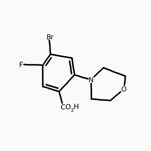 O=C(O)c1cc(F)c(Br)cc1N1CCOCC1